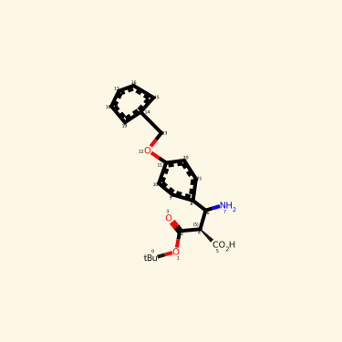 CC(C)(C)OC(=O)[C@H](C(=O)O)C(N)c1ccc(OCc2ccccc2)cc1